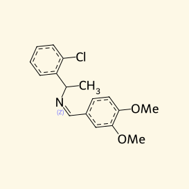 COc1ccc(/C=N\C(C)c2ccccc2Cl)cc1OC